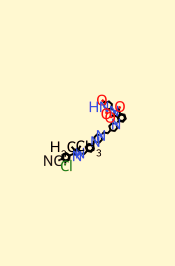 Cc1c(-c2ccc(C#N)c(Cl)c2)nn(Cc2ccc(N3CCN(CCC4CCN(c5cccc6c5C(=O)N(C5CCC(=O)NC5=O)C6=O)CC4)CC3)cc2)c1C